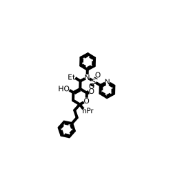 CCCC1(CCc2ccccc2)CC(O)=C(C(CC)N(c2ccccc2)S(=O)(=O)c2ccccn2)C(=O)O1